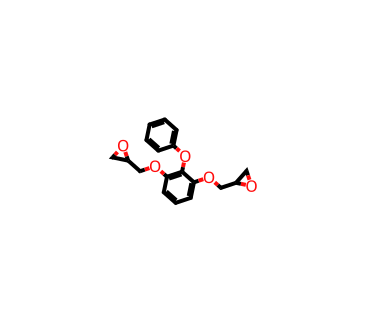 c1ccc(Oc2c(OCC3CO3)cccc2OCC2CO2)cc1